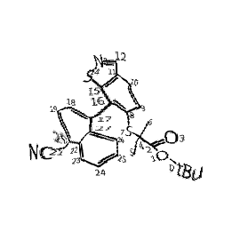 CC(C)(C)OC(=O)C(C)(C)Sc1ccc2cnsc2c1-c1ccc(C#N)c2ccccc12